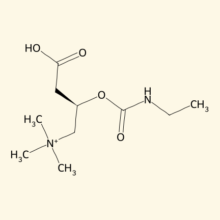 CCNC(=O)O[C@H](CC(=O)O)C[N+](C)(C)C